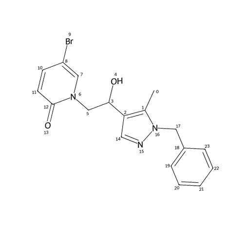 Cc1c(C(O)Cn2cc(Br)ccc2=O)cnn1Cc1ccccc1